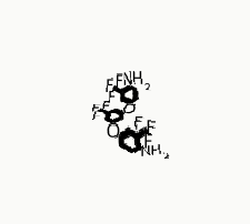 Nc1ccc(Oc2cc(Oc3ccc(N)c(C(F)(F)F)c3)cc(C(F)(F)F)c2)cc1C(F)(F)F